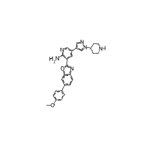 COc1ccc(-c2ccc3nc(-c4cc(-c5cnn(C6CCNCC6)c5)cnc4N)oc3c2)cc1